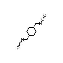 O=C=NC[C@H]1CC[C@@H](CN=C=O)CC1